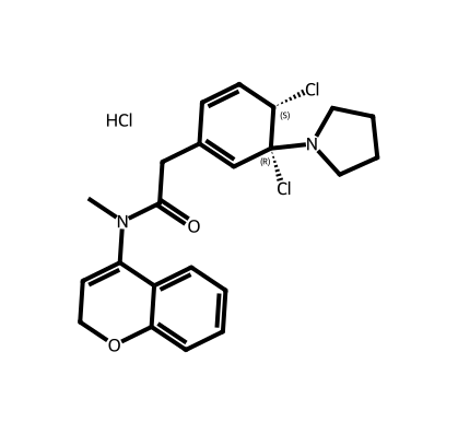 CN(C(=O)CC1=C[C@](Cl)(N2CCCC2)[C@@H](Cl)C=C1)C1=CCOc2ccccc21.Cl